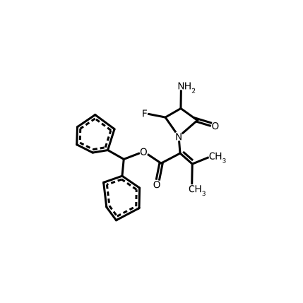 CC(C)=C(C(=O)OC(c1ccccc1)c1ccccc1)N1C(=O)C(N)C1F